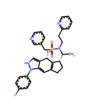 CC([C@@H]1CCC2=C1[C@@H](C)C1=CNN(c3ccc(F)cc3)C1=C2)N(CCc1ccccn1)S(=O)(=O)Cc1cccnc1